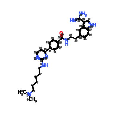 CN(C)CCCCCCNc1nccc(-c2ccc(C(=O)NCCc3ccc4[nH]cc(C(=N)N)c4c3)cc2)n1